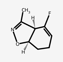 CC1=NO[C@@H]2CCC=C(F)[C@H]12